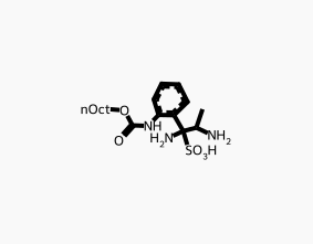 CCCCCCCCOC(=O)Nc1ccccc1C(N)(C(C)N)S(=O)(=O)O